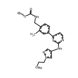 COCCn1cc(Nc2nccc(-c3ccc(CNC(=O)OC(C)(C)C)c(C)c3)n2)cn1